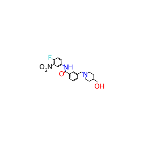 O=C(Nc1ccc(F)c([N+](=O)[O-])c1)c1cccc(CN2CCC(CO)CC2)c1